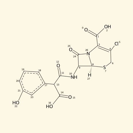 O=C(O)C1=C(Cl)CS[C@H]2C(NC(=O)C(C(=O)O)c3cccc(O)c3)C(=O)N12